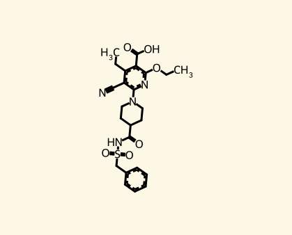 CCOc1nc(N2CCC(C(=O)NS(=O)(=O)Cc3ccccc3)CC2)c(C#N)c(CC)c1C(=O)O